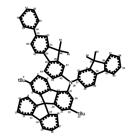 CC(C)(C)c1ccc2c(c1)C1(c3ccccc3-c3ccccc31)c1cc(C(C)(C)C)cc(N(c3ccc4c(c3)C(C)(C)c3ccccc3-4)c3ccc4c(c3)C(C)(C)c3cc(-c5ccccc5)ccc3-4)c1-2